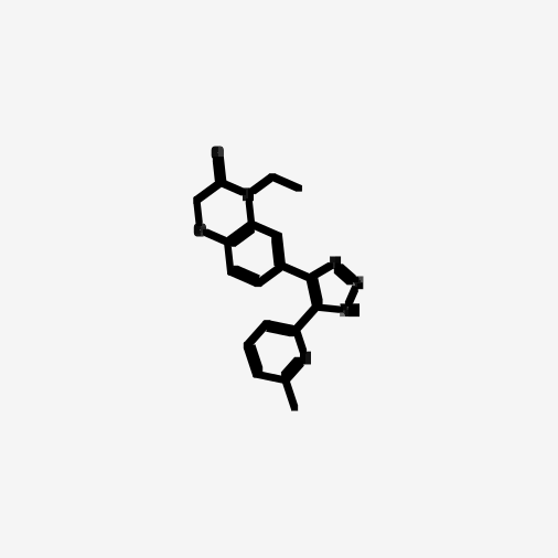 CCN1C(=O)COc2ccc(-c3nn[nH]c3-c3cccc(C)n3)cc21